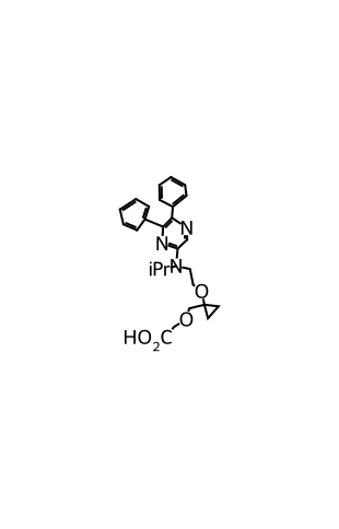 CC(C)N(CCOC1(COCC(=O)O)CC1)c1cnc(-c2ccccc2)c(-c2ccccc2)n1